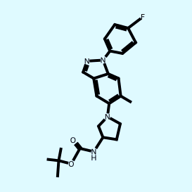 Cc1cc2c(cnn2-c2ccc(F)cc2)cc1N1CCC(NC(=O)OC(C)(C)C)C1